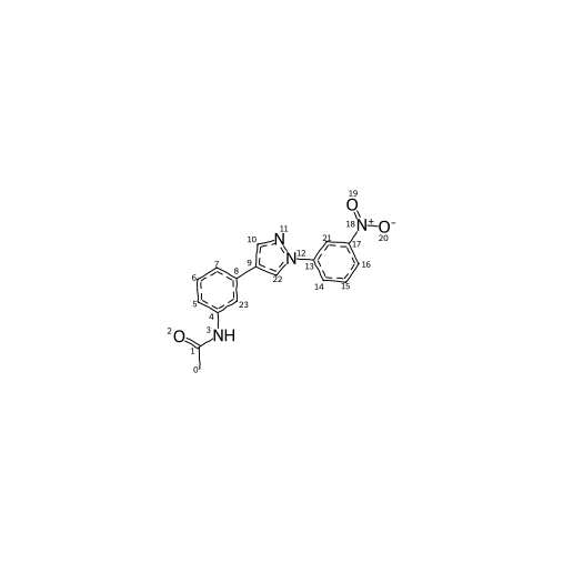 CC(=O)Nc1cccc(-c2cnn(-c3cccc([N+](=O)[O-])c3)c2)c1